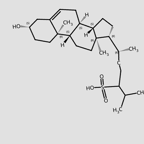 CC(C)C(CC[C@@H](C)[C@H]1CC[C@H]2[C@@H]3CC=C4C[C@@H](O)CC[C@]4(C)[C@H]3CC[C@]12C)S(=O)(=O)O